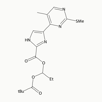 CCC(OC(=O)c1nc(-c2nc(SC)ncc2C)c[nH]1)OC(=O)C(C)(C)C